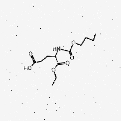 CCCCOC(=O)NC(CCC(=O)O)C(=O)OCC